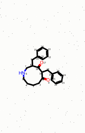 O=C1CCCCNCC(Cc2ccccc2)C(=O)C1Cc1ccccc1